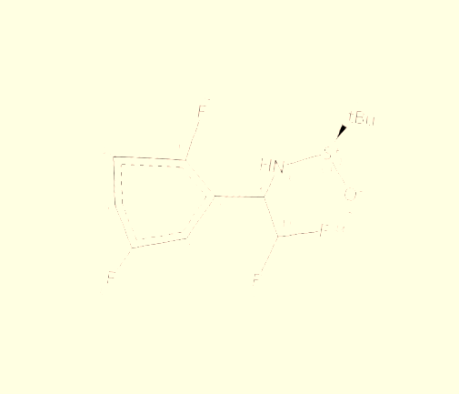 CC(C)(C)[S@@+]([O-])NC(c1cc(F)ccc1F)C(F)F